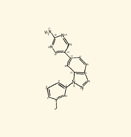 Cc1cccc(-n2ncc3ccc(-c4cnc(N)nc4)cc32)c1